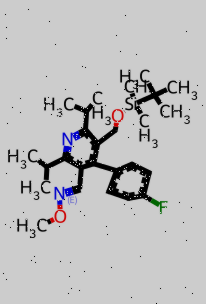 CO/N=C/c1c(C(C)C)nc(C(C)C)c(CO[Si](C)(C)C(C)(C)C)c1-c1ccc(F)cc1